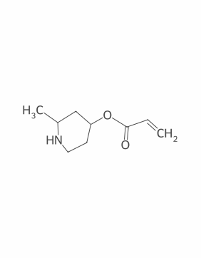 C=CC(=O)OC1CCNC(C)C1